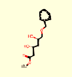 CC(C)(C)OC(=O)C[C@H](O)C[C@@H](O)COCc1ccccc1